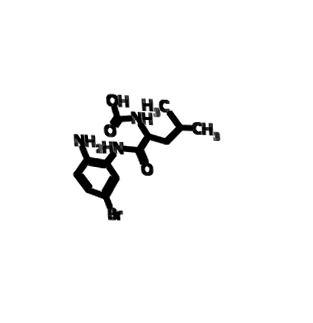 CC(C)CC(NC(=O)O)C(=O)Nc1cc(Br)ccc1N